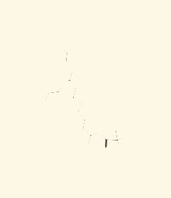 CCCOC(CCCCCCC(C)OC(=O)C(C)(C)C)OCCC